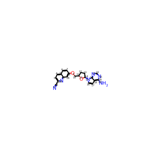 N#Cc1ccc2ccc(OCC3CCC(n4ccc5c(N)ncnc54)O3)cc2n1